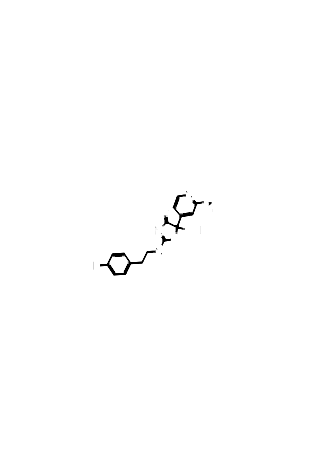 COc1cc(C2(C)SC(NCCc3ccc(F)cc3)=NC2=O)ccn1